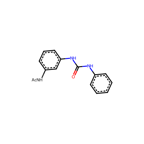 CC(=O)Nc1cccc(NC(=O)Nc2ccccc2)c1